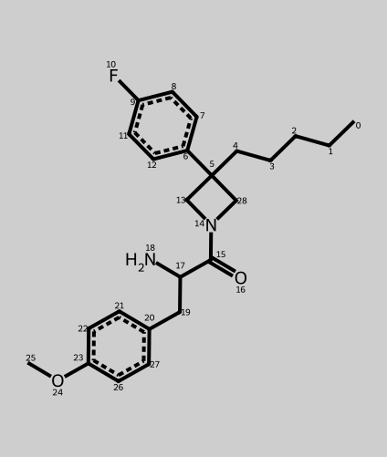 CCCCCC1(c2ccc(F)cc2)CN(C(=O)C(N)Cc2ccc(OC)cc2)C1